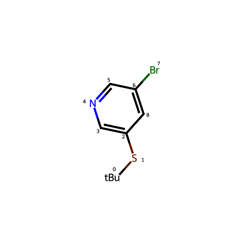 CC(C)(C)Sc1cncc(Br)c1